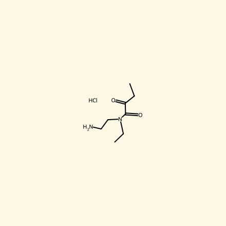 CCC(=O)C(=O)N(CC)CCN.Cl